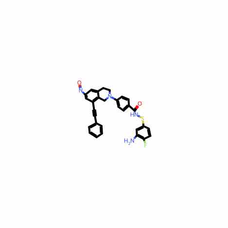 Nc1cc(SNC(=O)c2ccc(N3CCc4cc(N=O)cc(C#Cc5ccccc5)c4C3)cc2)ccc1F